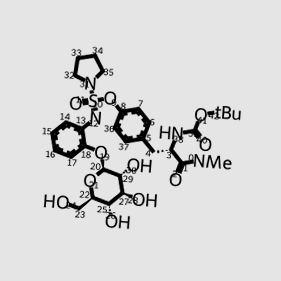 CNC(=O)[C@H](Cc1ccc(OS(=O)(=Nc2ccccc2O[C@@H]2O[C@H](CO)[C@@H](O)[C@H](O)[C@H]2O)N2CCCC2)cc1)NC(=O)OC(C)(C)C